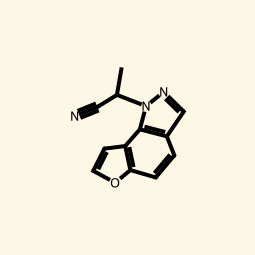 CC(C#N)n1ncc2ccc3occc3c21